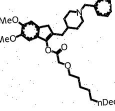 CCCCCCCCCCCCCCCOCC(=O)OC1=C(CC2CCN(Cc3ccccc3)CC2)Cc2cc(OC)c(OC)cc21